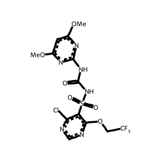 COc1cc(OC)nc(NC(=O)NS(=O)(=O)c2c(Cl)ncnc2OCC(F)(F)F)n1